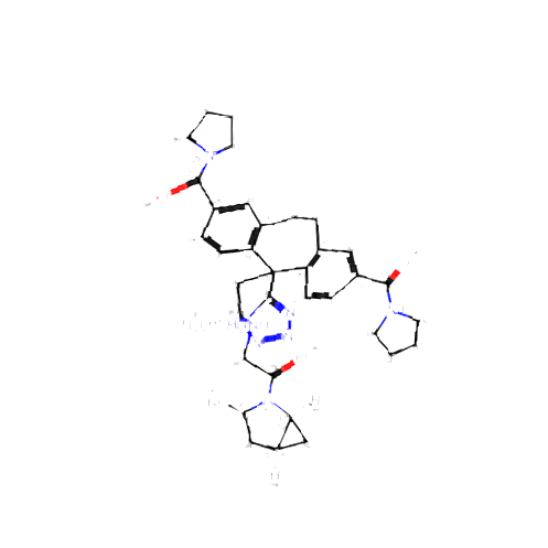 C[C@H](CC1(c2nnn[nH]2)c2ccc(C(=O)N3CCCC3)cc2CCc2cc(C(=O)N3CCCC3)ccc21)NCC(=O)N1[C@H](C#N)C[C@@H]2C[C@@H]21